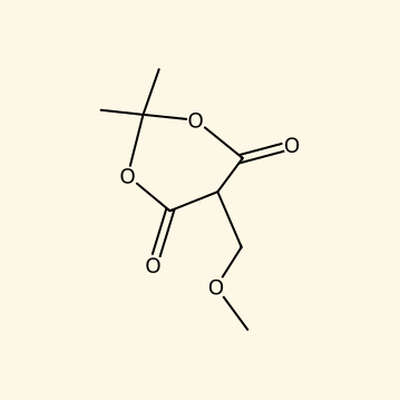 COCC1C(=O)OC(C)(C)OC1=O